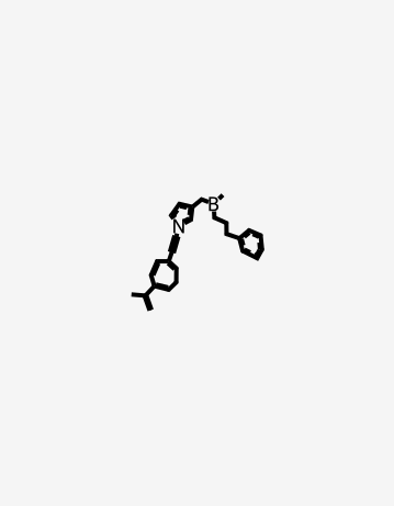 C=C(C)C1=CCC=C(C#Cn2ccc(CB(C)CCCc3ccccc3)c2)C=C1